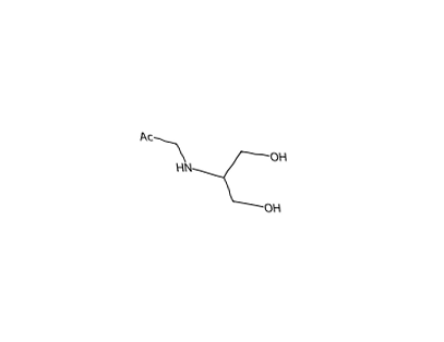 CC(=O)CNC(CO)CO